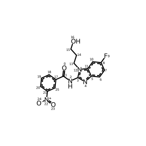 O=C(Nc1nc2ccc(F)cc2n1CCCO)c1cccc([N+](=O)[O-])c1